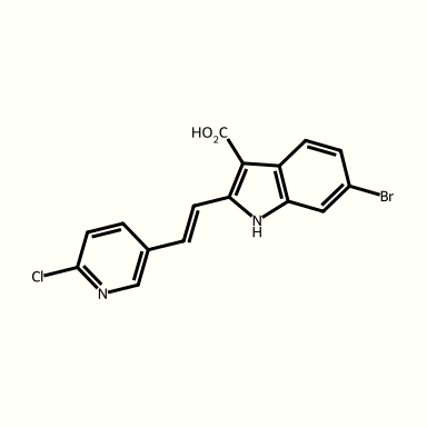 O=C(O)c1c(/C=C/c2ccc(Cl)nc2)[nH]c2cc(Br)ccc12